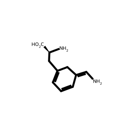 NC=C1C=CC=C(C[C@H](N)C(=O)O)C1